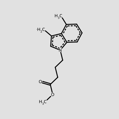 [CH2]c1cn(CCCC(=O)OC)c2cccc(C)c12